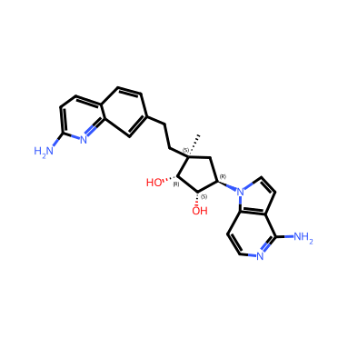 C[C@]1(CCc2ccc3ccc(N)nc3c2)C[C@@H](n2ccc3c(N)nccc32)[C@H](O)[C@@H]1O